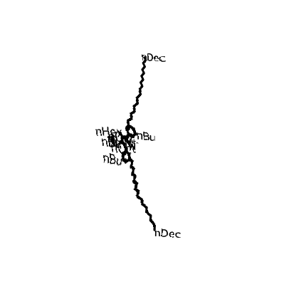 CCCCCCCCCCCCCCCCCCCCCCCCCCCCc1cc(CCCC)cc(C2=C(CCCC)C(CCCCCC)=C(c3cc(CCCC)cc(CCCCCCCCCCCCCCCCCCCCCCCCCCCC)c3)[N+]2=[N-])c1.CCCCCCC[CH2][Ni][CH2]CCCCCCC